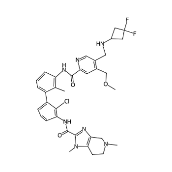 COCc1cc(C(=O)Nc2cccc(-c3cccc(NC(=O)c4nc5c(n4C)CCN(C)C5)c3Cl)c2C)ncc1CNC1CC(F)(F)C1